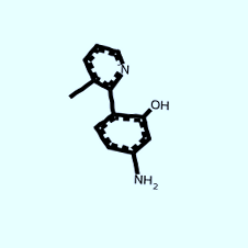 Cc1cccnc1-c1ccc(N)cc1O